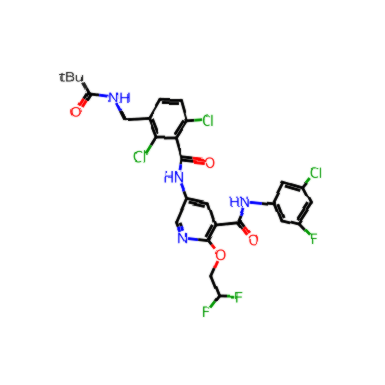 CC(C)(C)C(=O)NCc1ccc(Cl)c(C(=O)Nc2cnc(OCC(F)F)c(C(=O)Nc3cc(F)cc(Cl)c3)c2)c1Cl